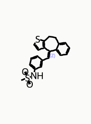 CS(=O)(=O)Nc1cccc(/C=C2/c3ccccc3CCc3sccc32)c1